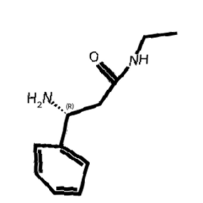 CCNC(=O)C[C@@H](N)c1ccccc1